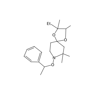 CCC1(C)OC2(CCN(OC(C)c3ccccc3)C(C)(C)C2)OC1C